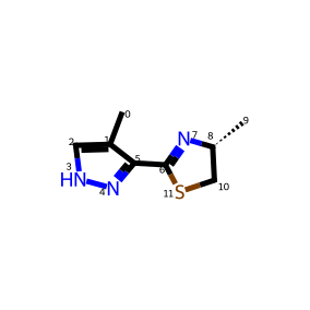 Cc1c[nH]nc1C1=N[C@H](C)CS1